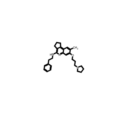 Cc1cc2c3c(c(NCCc4ccccc4)nc2cc1OCCCN1CCCC1)CCC3